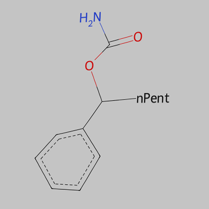 CCCCCC(OC(N)=O)c1ccccc1